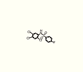 O=S(=O)(Nc1cc(Cl)c(Cl)cc1Cl)c1ccc(F)cc1